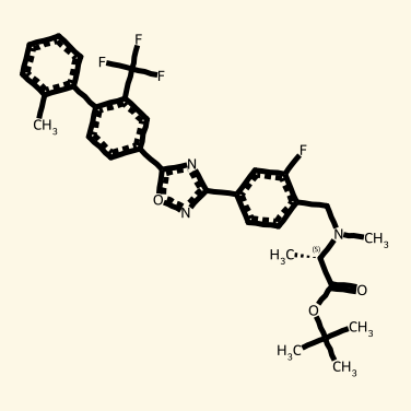 Cc1ccccc1-c1ccc(-c2nc(-c3ccc(CN(C)[C@@H](C)C(=O)OC(C)(C)C)c(F)c3)no2)cc1C(F)(F)F